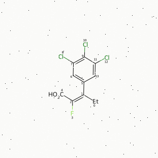 CC/C(=C(\F)C(=O)O)c1cc(Cl)c(Cl)c(Cl)c1